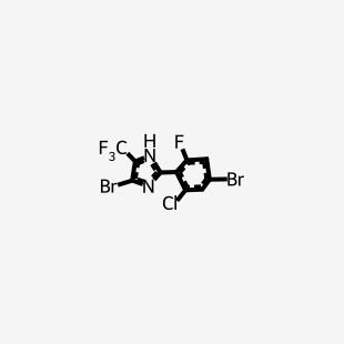 Fc1cc(Br)cc(Cl)c1-c1nc(Br)c(C(F)(F)F)[nH]1